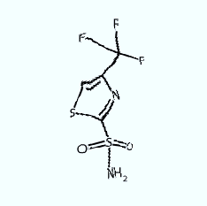 NS(=O)(=O)c1nc(C(F)(F)F)cs1